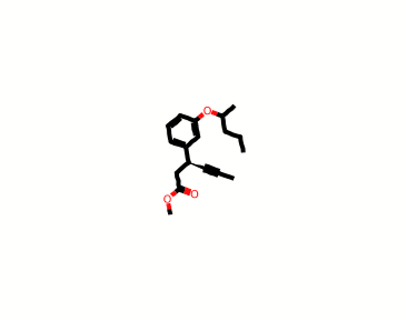 CC#C[C@@H](CC(=O)OC)c1cccc(OC(C)CCC)c1